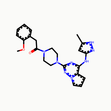 COc1ccccc1CC(=O)N1CCN(c2nc(Nc3cc(C)[nH]n3)c3cccn3n2)CC1